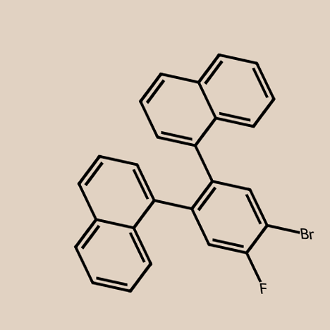 Fc1cc(-c2cccc3ccccc23)c(-c2cccc3ccccc23)cc1Br